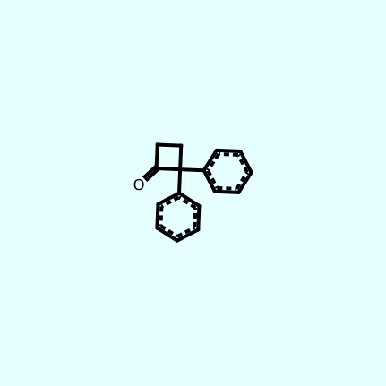 O=C1CCC1(c1ccccc1)c1ccccc1